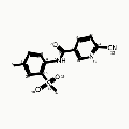 Cc1ccc(NC(=O)c2ccc(C#N)nc2)c(S(C)(=O)=O)c1